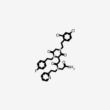 NC(=O)CN(CCc1ccccn1)C(=O)CC1C(=O)N(CCc2ccc(Cl)cc2Cl)CC(=O)N1CCc1ccc(F)cc1